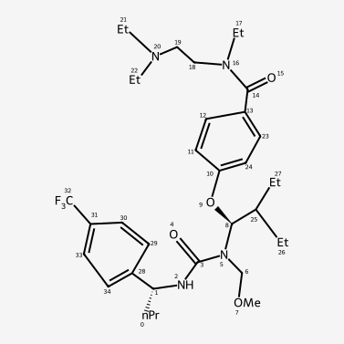 CCC[C@@H](NC(=O)N(COC)[C@@H](Oc1ccc(C(=O)N(CC)CCN(CC)CC)cc1)C(CC)CC)c1ccc(C(F)(F)F)cc1